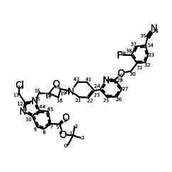 CC(C)(C)OC(=O)c1ccc2nc(CCl)n(C[C@@H]3CC(N4CC=C(c5cccc(OCc6ccc(C#N)cc6F)n5)CC4)O3)c2c1